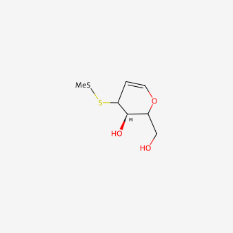 CSSC1C=COC(CO)[C@H]1O